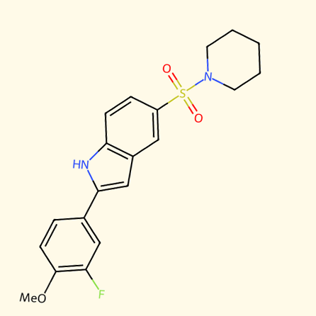 COc1ccc(-c2cc3cc(S(=O)(=O)N4CCCCC4)ccc3[nH]2)cc1F